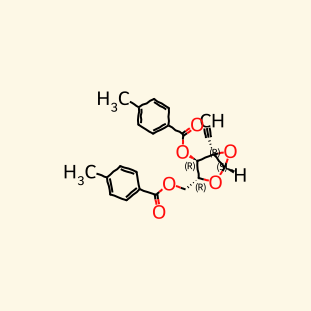 C#C[C@]12O[C@@H]1O[C@H](COC(=O)c1ccc(C)cc1)[C@H]2OC(=O)c1ccc(C)cc1